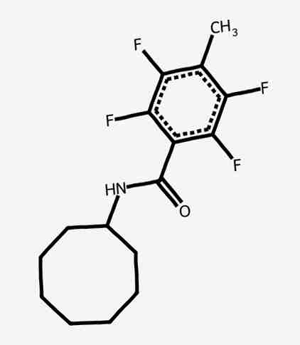 Cc1c(F)c(F)c(C(=O)NC2CCCCCCC2)c(F)c1F